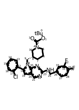 CC(C)(C)OC(=O)N1CCC[C@H](Cn2c(-c3ccccc3Cl)cc3cnc(NCc4ccc(F)c(F)c4)nc32)C1